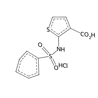 Cl.O=C(O)c1ccsc1NS(=O)(=O)c1ccccc1